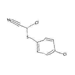 N#CC(Cl)Sc1ccc(Cl)cc1